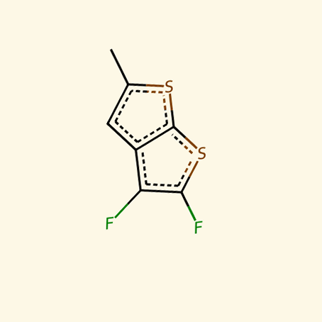 Cc1cc2c(F)c(F)sc2s1